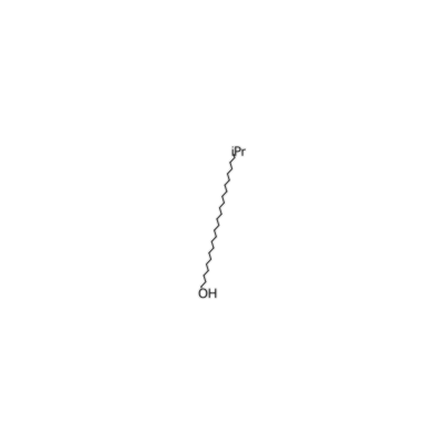 CC(C)CCCCCCCCCCCCCCCCCCCCCCCCO